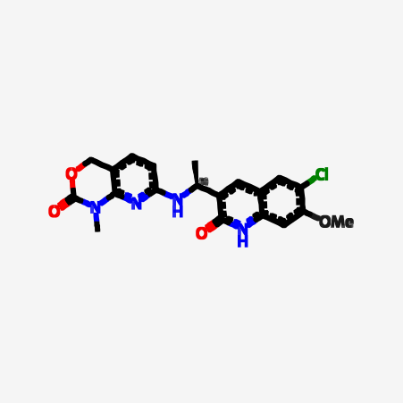 COc1cc2[nH]c(=O)c([C@H](C)Nc3ccc4c(n3)N(C)C(=O)OC4)cc2cc1Cl